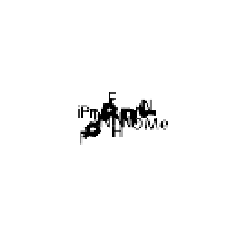 COc1nc(Nc2cc(F)cc3c2nc(-c2ccc(F)cc2)n3C(C)C)ccc1-n1cnc(C)c1